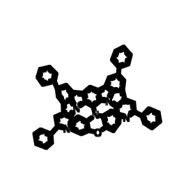 c1ccc(-c2cc3c4cc(-c5ccccc5)ncc4n4c5c(N6c7ccccc7Oc7ccccc76)c6c(cc5c(c2)c34)c2cc(-c3ccccc3)cc3c4cc(-c5ccccc5)ncc4n6c32)cc1